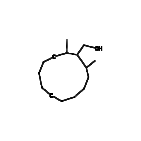 CC1CCCCCCCCCC(C)C1CO